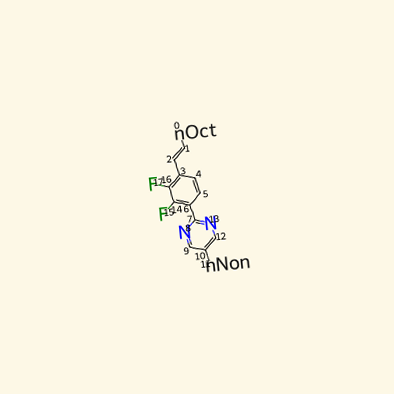 CCCCCCCC/C=C/c1ccc(-c2ncc(CCCCCCCCC)cn2)c(F)c1F